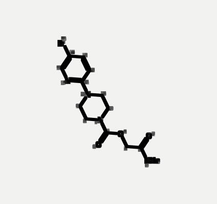 CNC(=O)COC(=O)N1CCN(c2ccc(Br)cn2)CC1